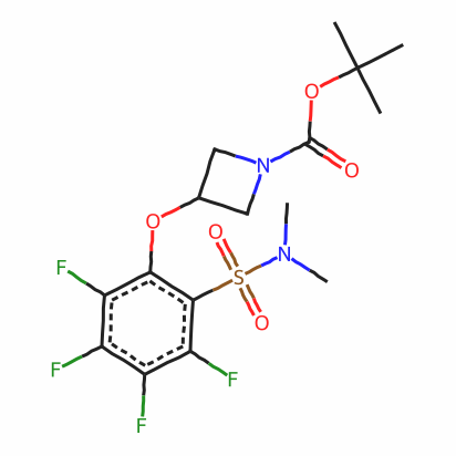 CN(C)S(=O)(=O)c1c(F)c(F)c(F)c(F)c1OC1CN(C(=O)OC(C)(C)C)C1